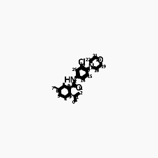 CC(C)[C@@H]1CC[C@@H](C)C[C@H]1C(=O)Nc1ccc(N2CCOCC2)c(Cl)c1